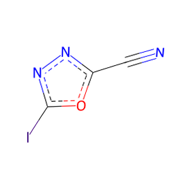 N#Cc1nnc(I)o1